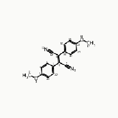 COc1ccc(/C(C#N)=C(\C#N)c2ccc(OC)cc2)cc1